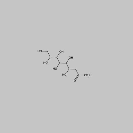 O=C(O)C(=O)CC(O)C(O)C(O)C(O)C(O)CO